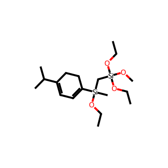 CCO[Si](C[Si](C)(OCC)C1=CC=C(C(C)C)CC1)(OC)OCC